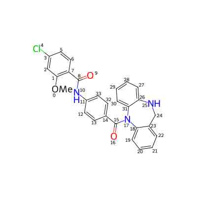 COc1cc(Cl)ccc1C(=O)Nc1ccc(C(=O)N2c3ccccc3CNc3ccccc32)cc1